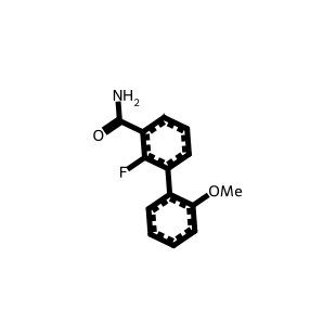 COc1ccccc1-c1cc[c]c(C(N)=O)c1F